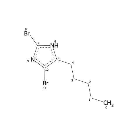 CCCCCc1[nH]c(Br)nc1Br